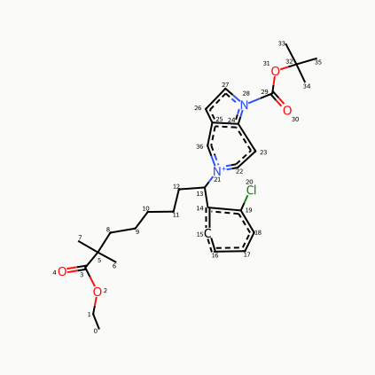 CCOC(=O)C(C)(C)CCCCCC(c1ccccc1Cl)[n+]1ccc2c(ccn2C(=O)OC(C)(C)C)c1